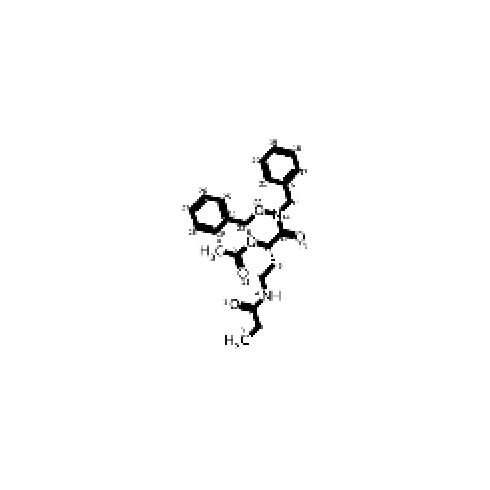 CCC(=O)NCC[C@H](OC(C)=O)C(=O)N(Cc1ccccc1)OCc1ccccc1